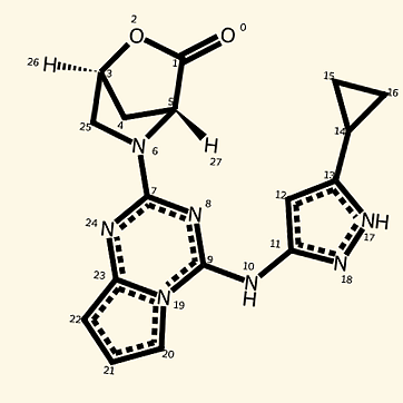 O=C1O[C@H]2C[C@H]1N(c1nc(Nc3cc(C4CC4)[nH]n3)n3cccc3n1)C2